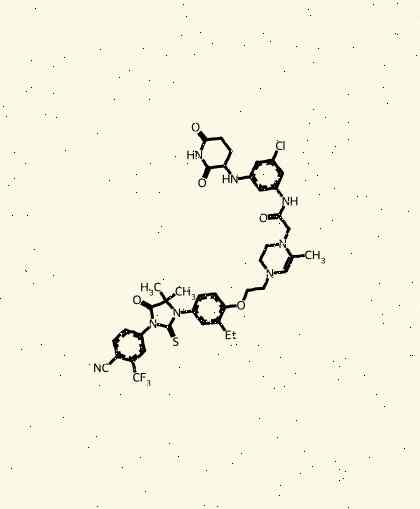 CCc1cc(N2C(=S)N(c3ccc(C#N)c(C(F)(F)F)c3)C(=O)C2(C)C)ccc1OCCN1C=C(C)N(CC(=O)Nc2cc(Cl)cc(NC3CCC(=O)NC3=O)c2)CC1